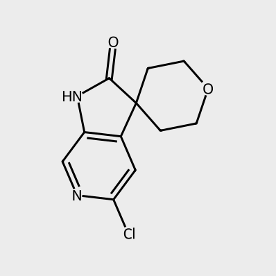 O=C1Nc2cnc(Cl)cc2C12CCOCC2